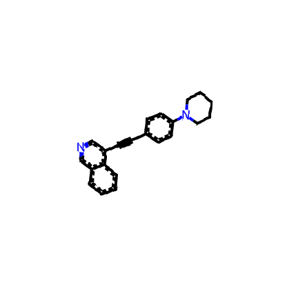 C(#Cc1cncc2ccccc12)c1ccc(N2CCCCC2)cc1